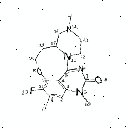 Cc1cc2c3c(nc(=O)n2C)N2CCN(C)CC2CCOc3c1F